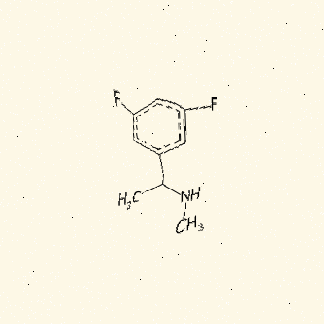 CNC(C)c1cc(F)cc(F)c1